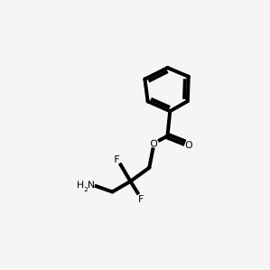 NCC(F)(F)COC(=O)c1ccccc1